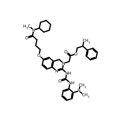 CC(COC(=O)CN1Cc2cc(OCCCC(=O)N(C)C3CCCCC3)ccc2N=C1NC(=O)Nc1ccccc1N(C)C)c1ccccc1